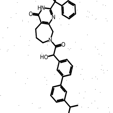 CC(C)c1cccc(-c2cccc(C(O)C(=O)N3CCCc4c(nc(C5(c6ccccc6)CC5)[nH]c4=O)C3)c2)c1